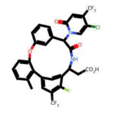 Cc1cccc2c1-c1cc(c(F)c(C(F)(F)F)c1)C(CC(=O)O)NC(=O)C(n1cc(Cl)c(C(F)(F)F)cc1=O)c1cccc(c1)O2